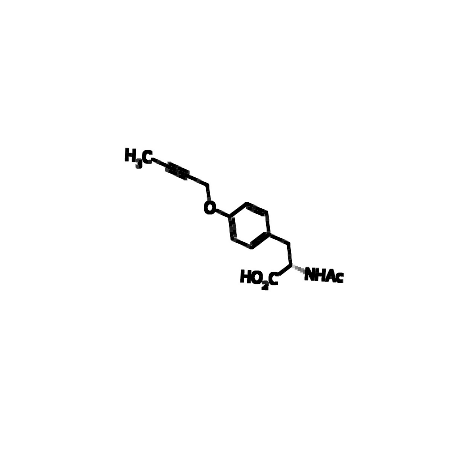 CC#CCOc1ccc(C[C@H](NC(C)=O)C(=O)O)cc1